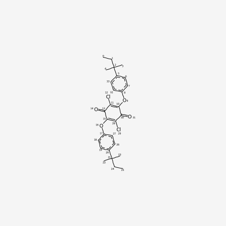 CCC(C)(C)c1ccc(OC2=C(Cl)C(=O)C(Oc3ccc(C(C)(C)CC)cc3)=C(Cl)C2=O)cc1